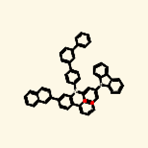 c1ccc(-c2cccc(-c3ccc(N(c4cccc(-n5c6ccccc6c6ccccc65)c4)c4cc(-c5ccc6ccccc6c5)ccc4-c4ccccc4)cc3)c2)cc1